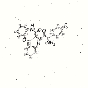 N[C@H](C(=O)N[C@@H]1C(=O)Nc2ccccc2O[C@H]1c1ccccc1)c1ccc(F)cc1